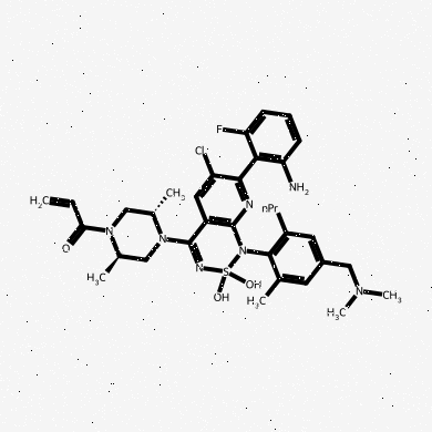 C=CC(=O)N1C[C@H](C)N(C2=NS(O)(O)N(c3c(C)cc(CN(C)C)cc3CCC)c3nc(-c4c(N)cccc4F)c(Cl)cc32)C[C@H]1C